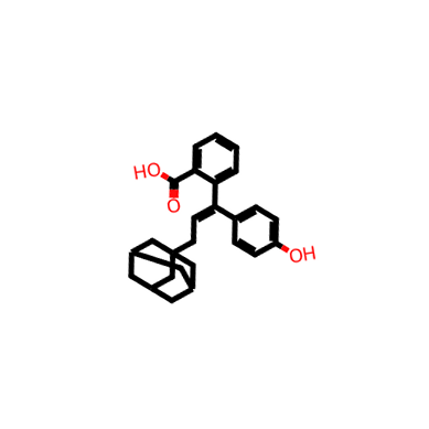 O=C(O)c1ccccc1C(=CCC12CC3CC(CC(C3)C1)C2)c1ccc(O)cc1